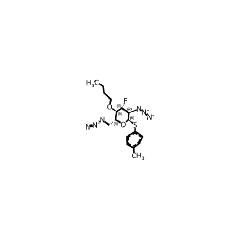 CCCCO[C@H]1[C@H](F)[C@@H](N=[N+]=[N-])[C@@H](Sc2ccc(C)cc2)O[C@@H]1CN=[N+]=[N-]